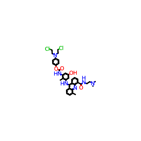 Cc1c(NC(=O)Oc2ccc(N(CCCl)CCCl)cc2)cc(O)cc1Nc1c2cccc(C)c2nc2c(C(=O)NCCN(C)C)cccc12